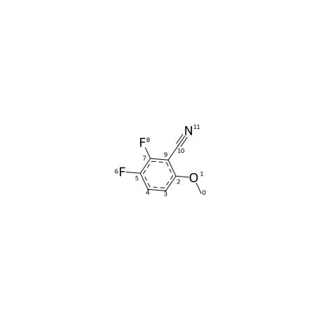 COc1ccc(F)c(F)c1C#N